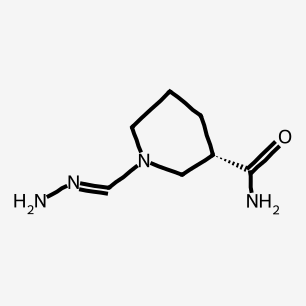 NN=CN1CCC[C@H](C(N)=O)C1